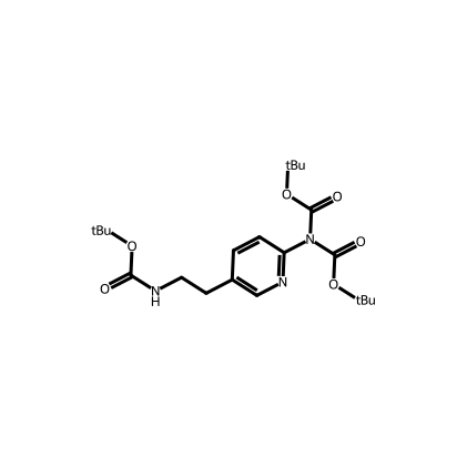 CC(C)(C)OC(=O)NCCc1ccc(N(C(=O)OC(C)(C)C)C(=O)OC(C)(C)C)nc1